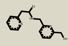 CCC(Cc1ccccn1)NCc1cccc(CO)n1